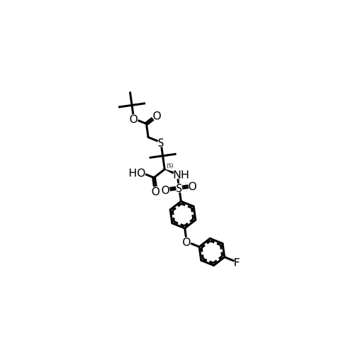 CC(C)(C)OC(=O)CSC(C)(C)[C@@H](NS(=O)(=O)c1ccc(Oc2ccc(F)cc2)cc1)C(=O)O